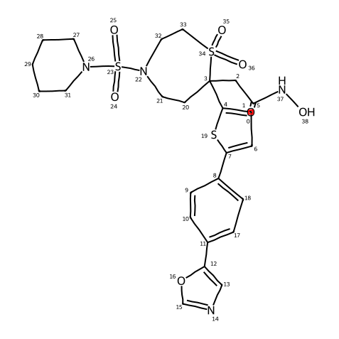 O=C(CC1(c2ccc(-c3ccc(-c4cnco4)cc3)s2)CCN(S(=O)(=O)N2CCCCC2)CCS1(=O)=O)NO